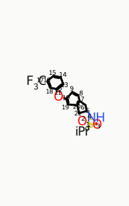 CC(C)S(=O)(=O)NC1Cc2ccc(Oc3cccc(C(F)(F)F)c3)cc2C1